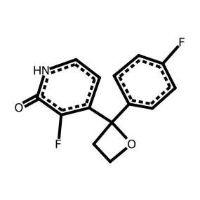 O=c1[nH]ccc(C2(c3ccc(F)cc3)CCO2)c1F